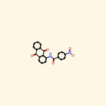 O=C(Nc1cccc2c1C(=O)c1ccccc1C2=O)c1ccc([N+](=O)[O-])cc1